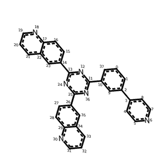 c1cc(-c2ccncc2)cc(-c2nc(-c3ccc4ncccc4c3)nc(-c3ccc4ncccc4c3)n2)c1